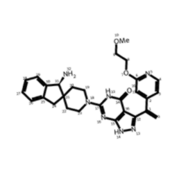 C=C(c1ccnc(OCCOC)c1)c1n[nH]c2nc(N3CCC4(CC3)Cc3ccccc3[C@H]4N)[nH]c(=O)c12